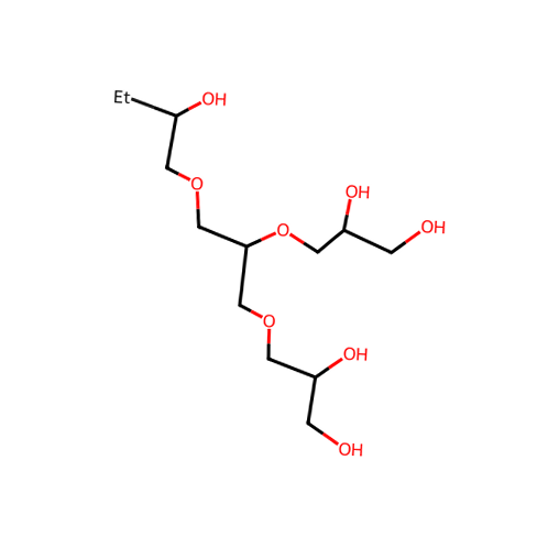 CCC(O)COCC(COCC(O)CO)OCC(O)CO